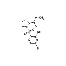 COC(=O)[C@@H]1CCCN1S(=O)(=O)c1ccc(Br)cc1N